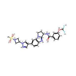 CS(=O)(=O)N1CC(n2cc(-c3ccc4nc5n(c4c3)CC[C@H]5NC(=O)c3cccc(OC(F)F)c3)cn2)C1